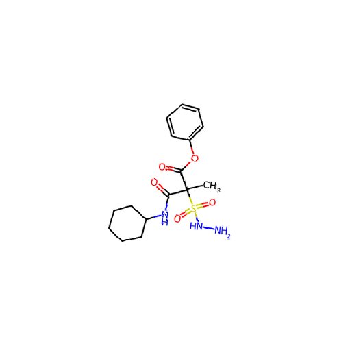 CC(C(=O)NC1CCCCC1)(C(=O)Oc1ccccc1)S(=O)(=O)NN